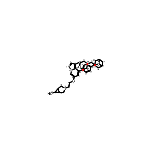 Cc1cnn2cc(OCCN3CC4C(O)C4C3)cc(-c3ccc(N4CC5CC(C4)N5CCN4CCOCC4)nc3)c12